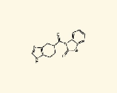 O=C(C1CCc2[nH]cnc2C1)n1c(=O)[nH]c2ccccc21